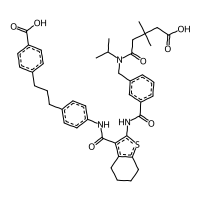 CC(C)N(Cc1cccc(C(=O)Nc2sc3c(c2C(=O)Nc2ccc(CCCc4ccc(C(=O)O)cc4)cc2)CCCC3)c1)C(=O)CC(C)(C)CC(=O)O